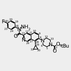 CC(C)(C)OC(=O)N1CCN(c2ccc3cc(C(=O)N(N)c4ccc(F)cc4)ncc3c2C2CC2)CC1